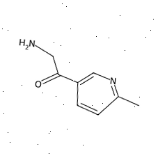 Cc1ccc(C(=O)CN)cn1